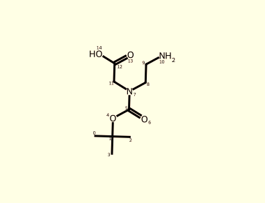 CC(C)(C)OC(=O)N(CCN)CC(=O)O